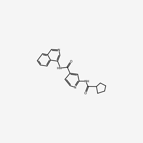 O=C(Nc1cncc2ccccc12)c1ccnc(NC(=O)C2CCCC2)c1